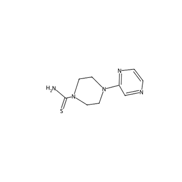 NC(=S)N1CCN(c2cnccn2)CC1